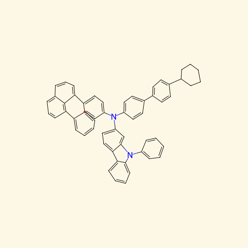 c1ccc(-c2cccc3cccc(-c4ccc(N(c5ccc(-c6ccc(C7CCCCC7)cc6)cc5)c5ccc6c7ccccc7n(-c7ccccc7)c6c5)cc4)c23)cc1